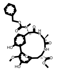 COC(=O)[C@@H]1Cc2cc(O)c(OC)c(c2)-c2cc(ccc2O)[C@H](N(C)C(=O)OCc2ccccc2)C(=O)N[C@@H](C)C(=O)N1